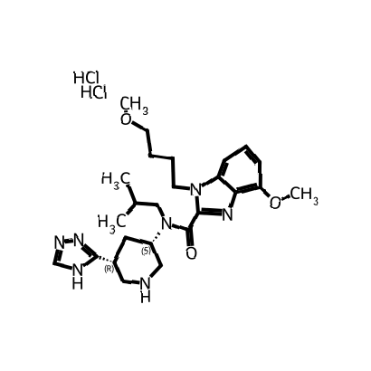 COCCCCn1c(C(=O)N(CC(C)C)[C@@H]2CNC[C@H](c3nnc[nH]3)C2)nc2c(OC)cccc21.Cl.Cl